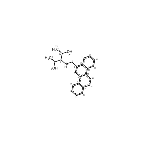 C[C@H](O)C(NCc1cc2c3ccccc3ccc2c2ccccc12)[C@@H](C)O